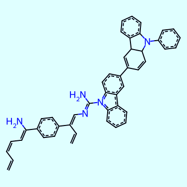 C=C/C=C\C=C(/N)c1ccc(/C(C=C)=C/N=C(\N)n2c3ccccc3c3cc(C4=CC5c6ccccc6N(c6ccccc6)C5C=C4)ccc32)cc1